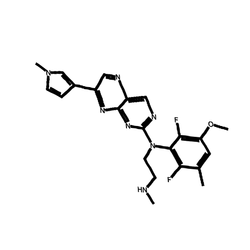 CNCCN(c1ncc2ncc(-c3ccn(C)c3)nc2n1)c1c(F)c(C)cc(OC)c1F